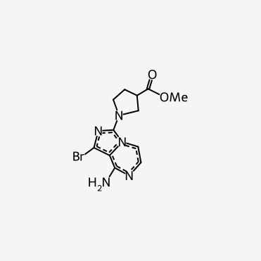 COC(=O)C1CCN(c2nc(Br)c3c(N)nccn23)C1